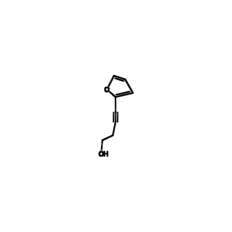 OCCC#Cc1ccco1